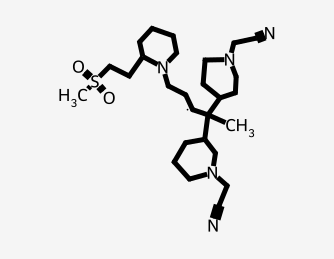 CC([CH]CCN1CCCCC1CCS(C)(=O)=O)(C1CCN(CC#N)CC1)C1CCCN(CC#N)C1